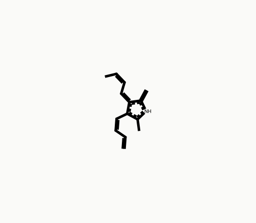 C=C/C=C\c1c(C)[nH]c(=C)/c1=C\C=C/C